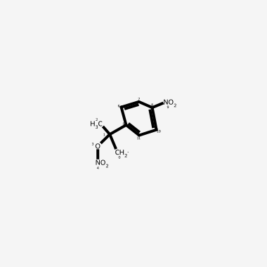 [CH2]C(C)(O[N+](=O)[O-])c1ccc([N+](=O)[O-])cc1